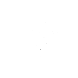 COC(=O)C1C(C(Cl)C(Cl)Cl)C1(C)C